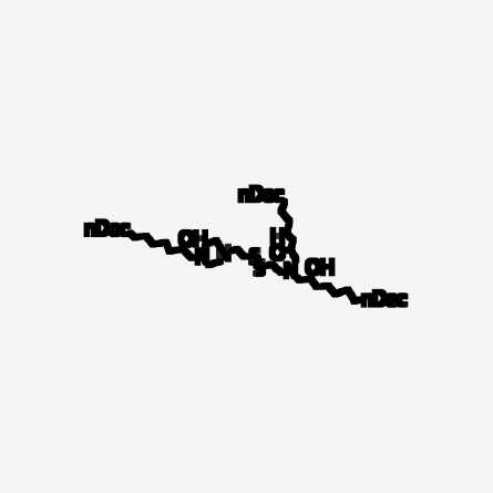 CCCCCCCCCCCCCCCC(O)CN1CCN(CCSSCCN(CC(O)CCCCCCCCCCCCCCC)CC(O)CCCCCCCCCCCCCCC)CC1